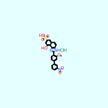 COc1cc(-c2cccc([N+](=O)[O-])c2)ccc1-c1nc2c(ccc3cc(S(=O)(=O)O)cc(O)c32)[nH]1.Cl